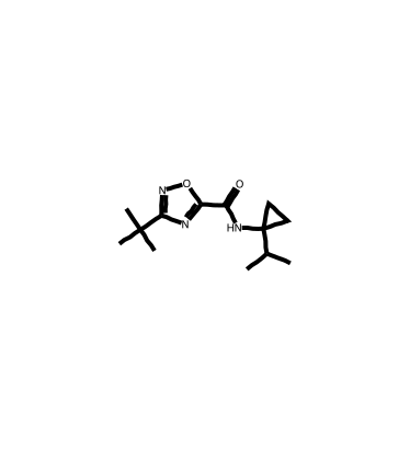 CC(C)C1(NC(=O)c2nc(C(C)(C)C)no2)CC1